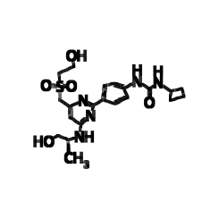 C[C@@H](CO)Nc1cc(CS(=O)(=O)CCO)nc(-c2ccc(NC(=O)NC3CCC3)cc2)n1